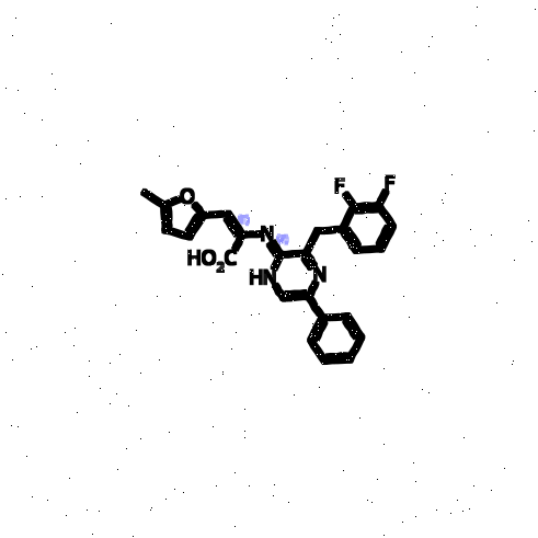 Cc1ccc(/C=C(/N=c2\[nH]cc(-c3ccccc3)nc2Cc2cccc(F)c2F)C(=O)O)o1